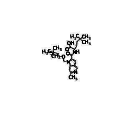 Cc1cc2c(cn1)cc(C(=O)NC(/C=C/C(C)(C)C)C(=O)O)n2COCC[Si](C)(C)C